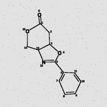 O=C1CC2OC(c3ccccc3)=NC2CO1